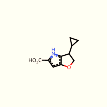 O=C(O)c1cc2c([nH]1)C(C1CC1)CO2